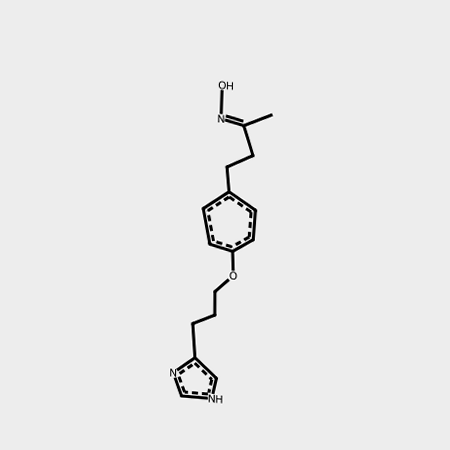 CC(CCc1ccc(OCCCc2c[nH]cn2)cc1)=NO